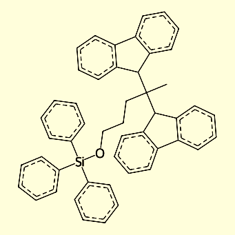 CC(CCCO[Si](c1ccccc1)(c1ccccc1)c1ccccc1)(C1c2ccccc2-c2ccccc21)C1c2ccccc2-c2ccccc21